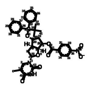 Cc1cn([C@@H]2C[C@@H]3[C@H](O2)[C@H](OC(=O)c2ccc([N+](=O)[O-])cc2)C[C@H]3O[Si](c2ccccc2)(c2ccccc2)C(C)(C)C)c(=O)[nH]c1=O